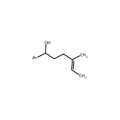 CC=C(C)CCC(O)C(C)C